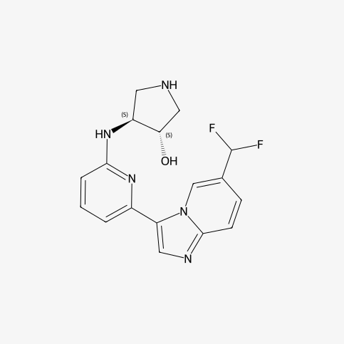 O[C@H]1CNC[C@@H]1Nc1cccc(-c2cnc3ccc(C(F)F)cn23)n1